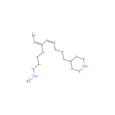 CC/C=C(\C=C/CCCC1CCNCC1)CCCCNCC